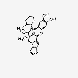 CC1CCCCC1NC(=O)C1(C)Cn2c(cc3sccc32)C(=O)N1Cc1ccc(O)c(O)c1